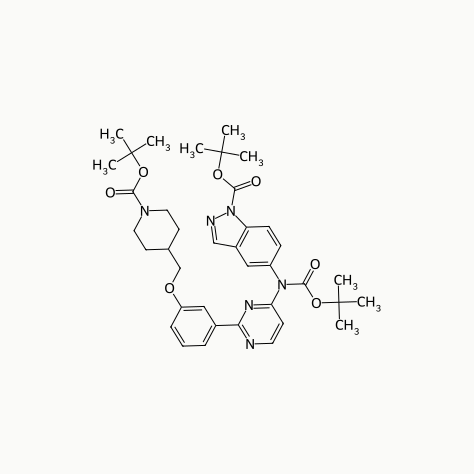 CC(C)(C)OC(=O)N1CCC(COc2cccc(-c3nccc(N(C(=O)OC(C)(C)C)c4ccc5c(cnn5C(=O)OC(C)(C)C)c4)n3)c2)CC1